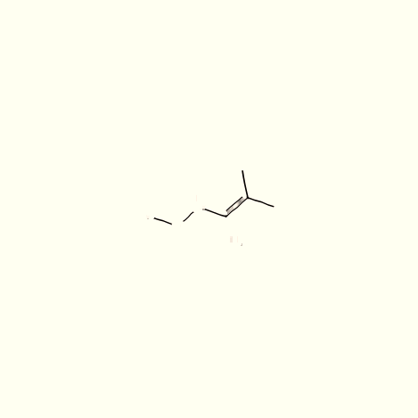 CC(C)=C[SiH2]OBr.[SiH4]